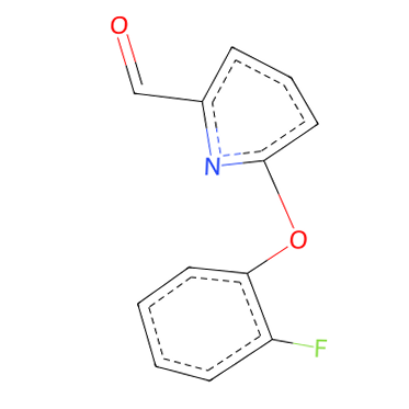 O=Cc1cccc(Oc2ccccc2F)n1